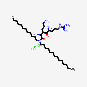 CCCCCCCCCCCCCCN(CCCCCCCCCCCC)C(=O)C(N)C(CCCN)C(=O)C(N)CCCNC(=N)N.Cl.Cl.Cl